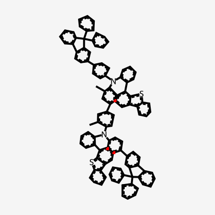 Cc1cc(-c2ccc(N(c3ccc(-c4ccc5c(c4)C(c4ccccc4)(c4ccccc4)c4ccccc4-5)cc3)c3ccccc3-c3cccc4c3sc3ccccc34)c(C)c2)ccc1N(c1ccc(-c2ccc3c(c2)C(c2ccccc2)(c2ccccc2)c2ccccc2-3)cc1)c1ccccc1-c1cccc2c1sc1ccccc12